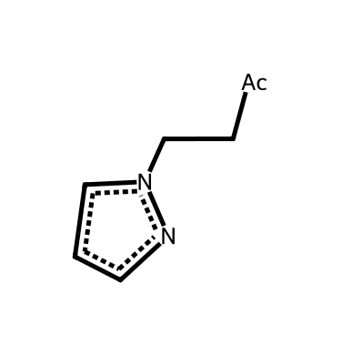 CC(=O)CCn1cccn1